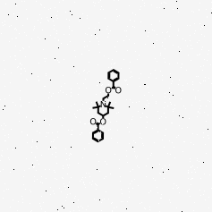 CC1(C)CC(OC(=O)c2ccccc2)CC(C)(C)N1CCOC(=O)c1ccccc1